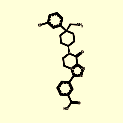 NC[C@]1(c2cccc(Cl)c2)CC[C@H](N2CCn3c(nnc3-c3cccc(C(=O)O)c3)C2=O)CC1